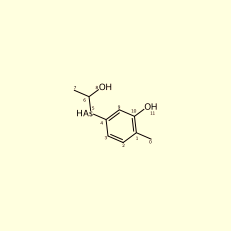 Cc1ccc([AsH]C(C)O)cc1O